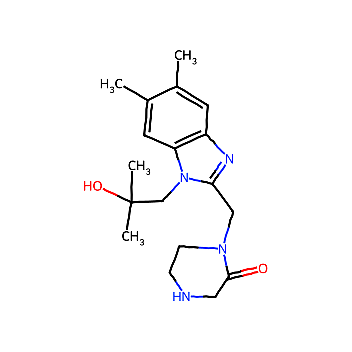 Cc1cc2nc(CN3CCNCC3=O)n(CC(C)(C)O)c2cc1C